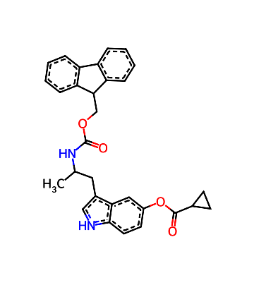 CC(Cc1c[nH]c2ccc(OC(=O)C3CC3)cc12)NC(=O)OCC1c2ccccc2-c2ccccc21